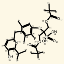 Cc1cc(OC(COC(=O)C(C)(C)C)(COC(=O)C(C)(C)C)P(=O)(O)O)c(F)c(C)c1Cc1ccc(O)c(C(C)C)n1